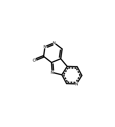 O=C1N=NC=C2C1=Nc1cnccc12